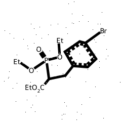 CCOC(=O)C(Cc1ccc(Br)cc1)P(=O)(OCC)OCC